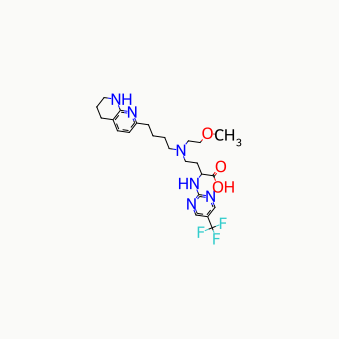 COCCN(CCCCc1ccc2c(n1)NCCC2)CCC(Nc1ncc(C(F)(F)F)cn1)C(=O)O